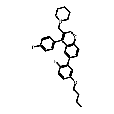 CCCCOc1ccc(F)c(-c2ccc3c(c2)C(c2ccc(F)cc2)=C(CN2CCCCC2)CO3)c1